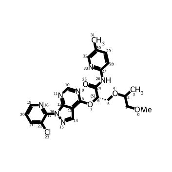 COCC(C)OC[C@H](Oc1ncnc2c1cnn2-c1ncccc1Cl)C(=O)Nc1ccc(C)cn1